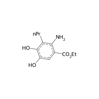 CCCc1c(N)c(C(=O)OCC)cc(O)c1O